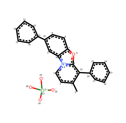 Cc1cc[n+]2c(oc3ccc(-c4ccccc4)cc32)c1-c1ccccc1.[O-][Cl+3]([O-])([O-])[O-]